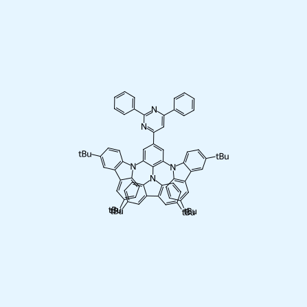 CC(C)(C)c1ccc2c(c1)c1cc(C(C)(C)C)ccc1n2-c1cc(-c2cc(-c3ccccc3)nc(-c3ccccc3)n2)cc(-n2c3ccc(C(C)(C)C)cc3c3cc(C(C)(C)C)ccc32)c1-n1c2ccc(C(C)(C)C)cc2c2cc(C(C)(C)C)ccc21